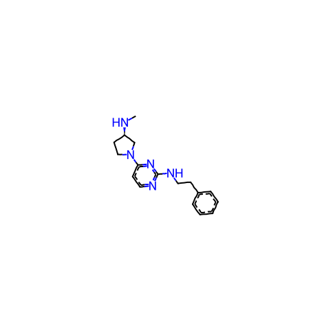 CN[C@@H]1CCN(c2ccnc(NCCc3ccccc3)n2)C1